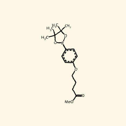 COC(=O)CCCOc1ccc(B2OC(C)(C)C(C)(C)O2)cc1